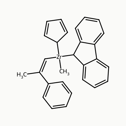 CC(=[CH][Zr]([CH3])([CH]1C=CC=C1)[CH]1c2ccccc2-c2ccccc21)c1ccccc1